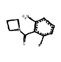 Nc1cccc(F)c1C(=O)N1CCC1